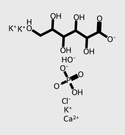 O=C([O-])C(O)C(O)C(O)C(O)CO.O=P([O-])([O-])O.[Ca+2].[Cl-].[K+].[K+].[K+].[OH-]